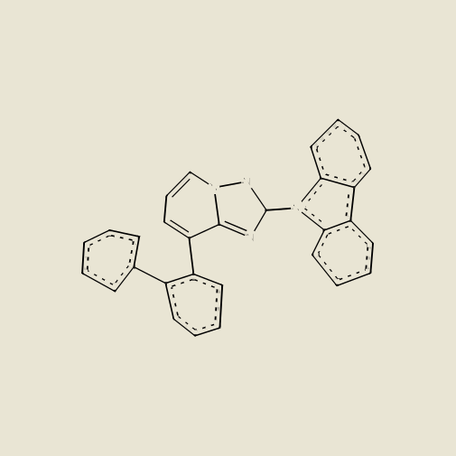 C1=CN2NC(n3c4ccccc4c4ccccc43)N=C2C(c2ccccc2-c2ccccc2)=C1